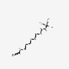 O=COCCCCCCCCCC(F)(F)F